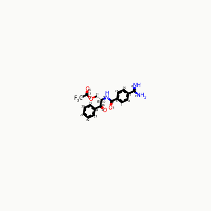 N=C(N)c1ccc(C(=O)N[C@@H](COC(=O)C(F)(F)F)C(=O)c2ccccc2)cc1